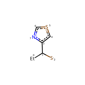 CCC([S])c1cscn1